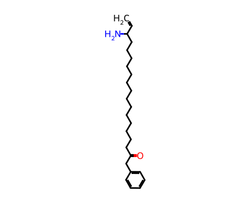 C=CC(N)CCCCCCCCCCCCCCC(=O)Cc1ccccc1